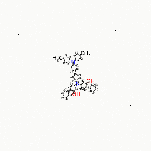 Cc1ccc(N(c2ccc(C)cc2)c2ccc(-c3ccc(N(c4ccc(-c5ccccc5)c(O)c4)c4ccc(-c5ccccc5)c(O)c4)cc3)cc2)cc1